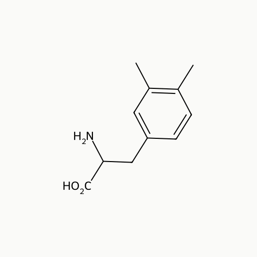 Cc1ccc(CC(N)C(=O)O)cc1C